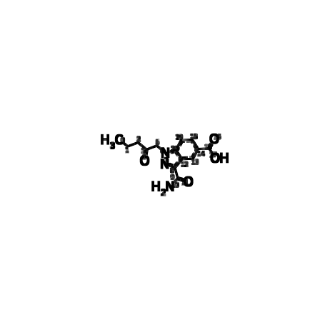 CCCC(=O)Cn1nc(C(N)=O)c2cc(C(=O)O)ccc21